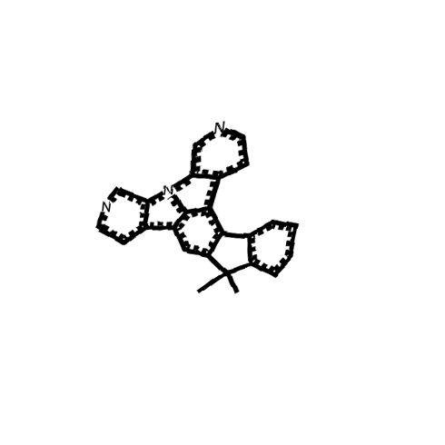 CC1(C)c2ccccc2-c2c1cc1c3ccncc3n3c4cnccc4c2c13